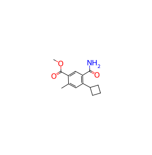 COC(=O)c1cc(C(N)=O)c(C2CCC2)cc1C